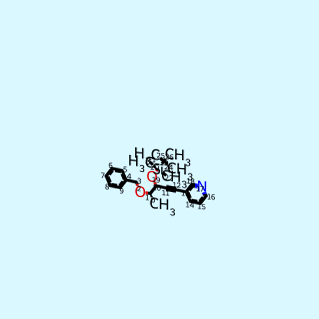 C[C@@H](OCc1ccccc1)C(C#Cc1cccnc1)O[Si](C)(C)C(C)(C)C